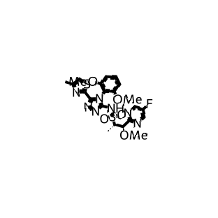 COc1cccc(OC)c1-n1c(NS(=O)(=O)[C@@H](C)[C@@H](OC)c2ncc(F)cn2)nnc1-c1nc(C)cs1